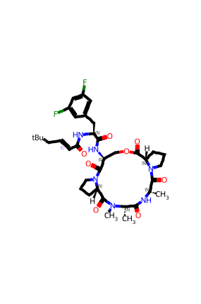 C[C@@H]1NC(=O)[C@H](C)N(C)C(=O)[C@@H]2CCCN2C(=O)[C@@H](NC(=O)[C@H](Cc2cc(F)cc(F)c2)NC(=O)/C=C/CC(C)(C)C)COC(=O)[C@@H]2CCCN2C1=O